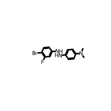 CN(C)c1ccc(NNc2ccc(Br)c(F)c2)cc1